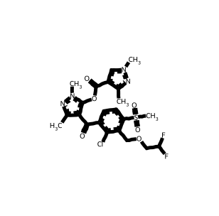 Cc1nn(C)cc1C(=O)Oc1c(C(=O)c2ccc(S(C)(=O)=O)c(COCC(F)F)c2Cl)c(C)nn1C